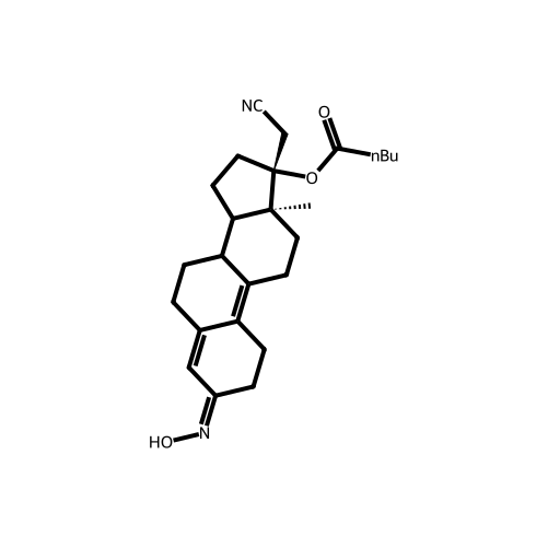 CCCCC(=O)O[C@@]1(CC#N)CCC2C3CCC4=CC(=NO)CCC4=C3CC[C@@]21C